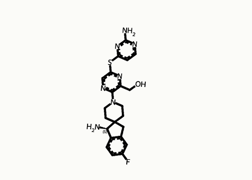 Nc1nccc(Sc2cnc(N3CCC4(CC3)Cc3cc(F)ccc3[C@H]4N)c(CO)n2)n1